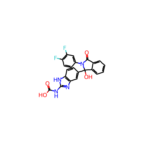 O=C(O)Nc1nc2cc(C3(O)c4ccccc4C(=O)N3c3ccc(F)c(F)c3)ccc2[nH]1